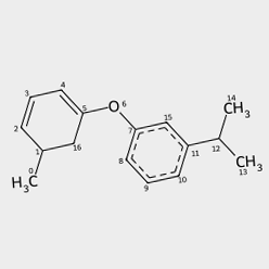 CC1C=CC=C(Oc2cccc(C(C)C)c2)C1